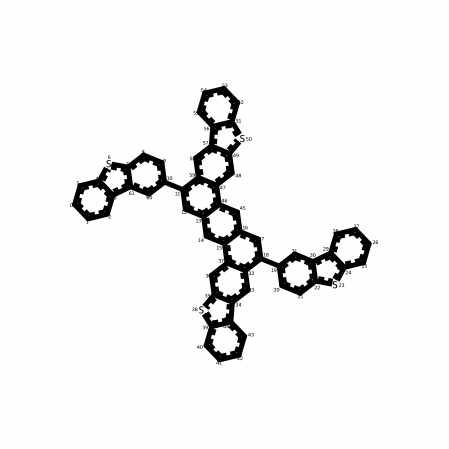 c1ccc2c(c1)sc1ccc(-c3cc4cc5c(cc(-c6ccc7sc8ccccc8c7c6)c6cc7c(cc65)sc5ccccc57)cc4c4cc5sc6ccccc6c5cc34)cc12